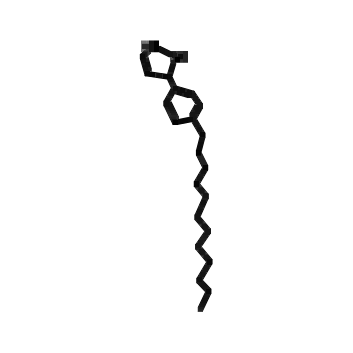 CCCCCCCCCCCCc1ccc(C2C=CNN2)cc1